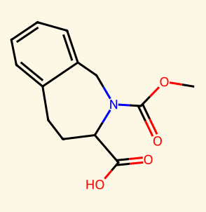 COC(=O)N1Cc2ccccc2CCC1C(=O)O